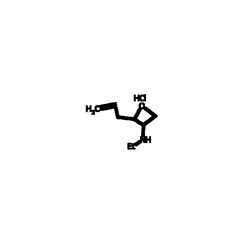 C=CCC1OCC1NCC.Cl